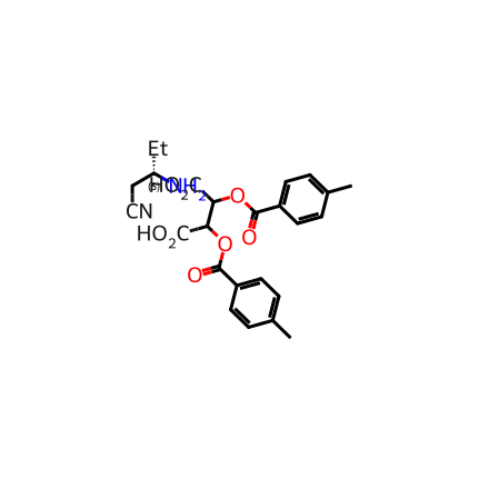 CC[C@H](N)CC#N.Cc1ccc(C(=O)OC(C(=O)O)C(OC(=O)c2ccc(C)cc2)C(=O)O)cc1